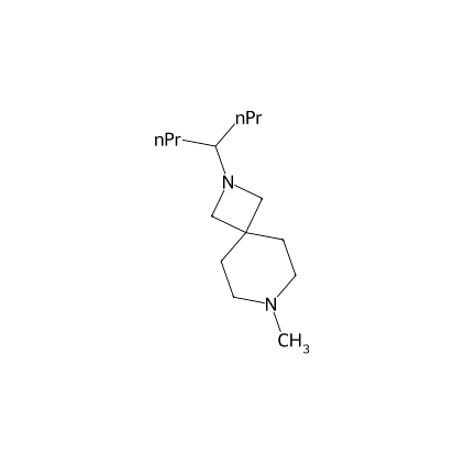 CCCC(CCC)N1CC2(CCN(C)CC2)C1